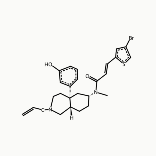 C=CCN1CC[C@@]2(c3cccc(O)c3)C[C@H](N(C)C(=O)/C=C/c3cc(Br)cs3)CC[C@@H]2C1